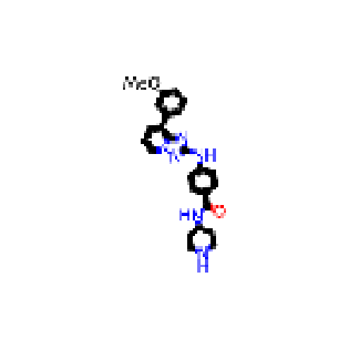 COc1cccc(-c2cccn3nc(Nc4ccc(C(=O)NC5CCNCC5)cc4)nc23)c1